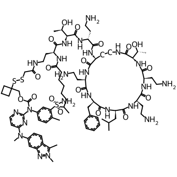 Cc1ccc(N(C(=O)OCC2(SSCC(=O)NCC[C@H](NC(=O)CCCCCC(C)C)C(=O)N[C@H](C(=O)N[C@H](CCN)C(=O)N[C@H]3CCNC(=O)[C@@H]([C@@H](C)O)NC(=O)[C@@H](CCN)NC(=O)[C@@H](CCN)NC(=O)[C@@H](CC(C)C)NC(=O)[C@@H](Cc4ccccc4)NC(=O)[C@@H](CCN)NC3=O)[C@@H](C)O)CCC2)c2nccc(N(C)c3ccc4c(C)n(C)nc4c3)n2)cc1S(N)(=O)=O